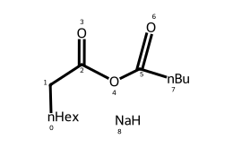 CCCCCCCC(=O)OC(=O)CCCC.[NaH]